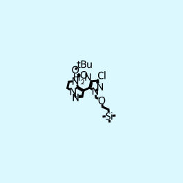 CC(C)(C)OC(=O)N1CCn2ncc(-c3c(N)c(Cl)nn3COCC[Si](C)(C)C)c21